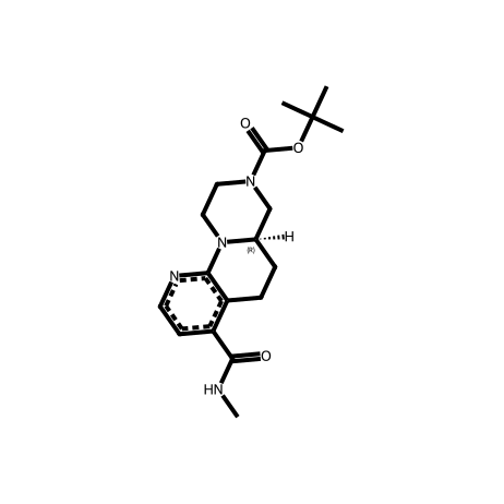 CNC(=O)c1ccnc2c1CC[C@@H]1CN(C(=O)OC(C)(C)C)CCN21